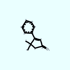 CC1(C)CC(=O)C=C1c1ccccc1